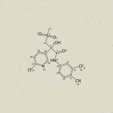 CS(=O)(=O)CC(O)(C(=O)Nc1ccc(C#N)c(C(F)(F)F)c1)c1ccc(Cl)nc1